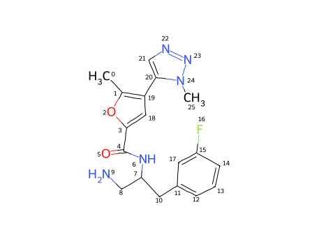 Cc1oc(C(=O)NC(CN)Cc2cccc(F)c2)cc1-c1cnnn1C